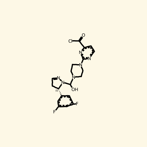 O=C(Cl)c1ccnc(N2CCN(C(O)N3N=CC[C@H]3c3cc(F)cc(F)c3)CC2)n1